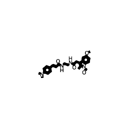 COc1ccc2c(c1)c(CC(=O)NCCNC(=O)/C=C/c1ccc(N(C)C)cc1)c(C)n2C=O